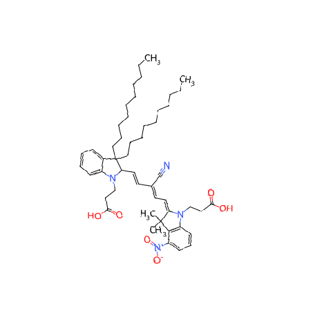 CCCCCCCCCCC1(CCCCCCCCCC)c2ccccc2N(CCC(=O)O)C1/C=C/C(C#N)=C/C=C1/N(CCC(=O)O)c2cccc([N+](=O)[O-])c2C1(C)C